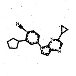 N#Cc1ccc(-n2ccc3ncc(C4CC4)nc32)cc1C1CCCC1